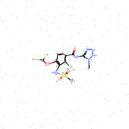 CN1NNN=C1NC(=O)c1ccc(OC(F)F)c(NS(=O)(=O)C(F)(F)F)c1Cl